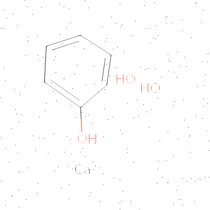 Oc1ccccc1.[Ca+2].[OH-].[OH-]